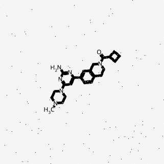 CN1CCN(c2cc(-c3ccc4c(c3)CN(C(=O)C3CCC3)CC4)nc(N)n2)CC1